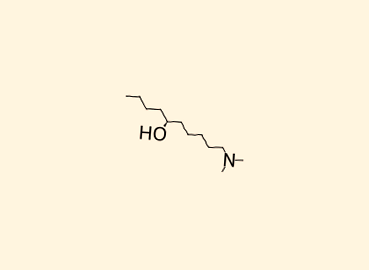 CCCC[C@H](O)CCCCCN(C)C